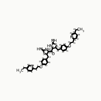 CCc1ccc(CCOc2ccc(CC3SC(=N)NC3C(=O)C3NC(=N)SC3Cc3ccc(OCCc4ccc(CC)cn4)cc3)cc2)nc1